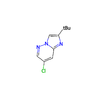 CC(C)(C)c1cn2ncc(Cl)cc2n1